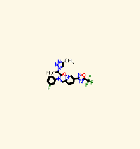 Cc1cn(C(C)C(=O)N(Cc2ccc(-c3noc(C(F)(F)F)n3)cn2)c2cccc(F)c2)nn1